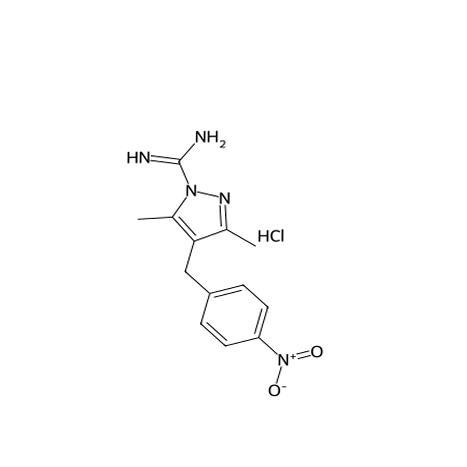 Cc1nn(C(=N)N)c(C)c1Cc1ccc([N+](=O)[O-])cc1.Cl